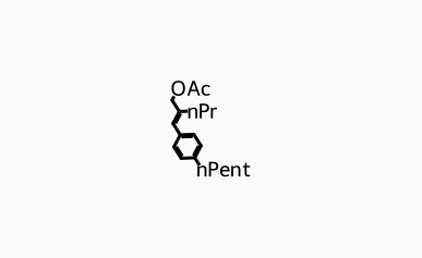 CCCCCc1ccc(/C=C(\CCC)COC(C)=O)cc1